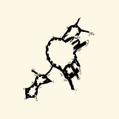 CCCc1c(C)cc2cccc(-c3cc4sccc4n3C)c3c(C)sc(c3C)c(=O)n12